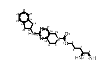 N=CC(=N)CCCOC(=O)N1CCc2nc(NC3Cc4ccccc4C3)ncc2C1